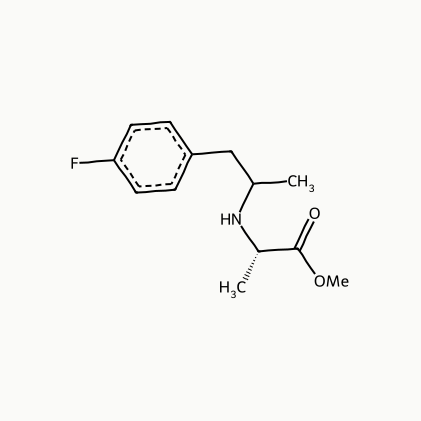 COC(=O)[C@H](C)NC(C)Cc1ccc(F)cc1